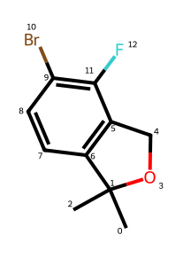 CC1(C)OCc2c1ccc(Br)c2F